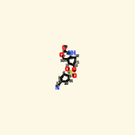 N#Cc1ccc(S(=O)(=O)Oc2ccc3c(c2)COC(=O)N3)cc1